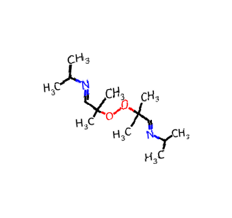 CC(C)N=CC(C)(C)OOC(C)(C)C=NC(C)C